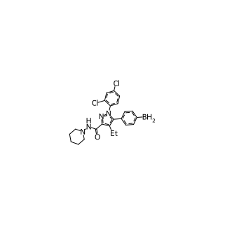 Bc1ccc(-c2c(CC)c(C(=O)NN3CCCCC3)nn2-c2ccc(Cl)cc2Cl)cc1